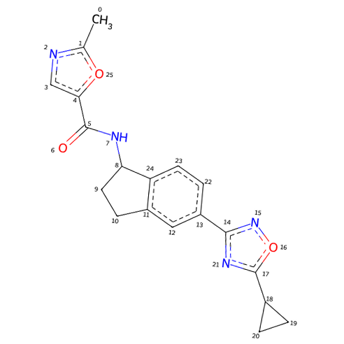 Cc1ncc(C(=O)NC2CCc3cc(-c4noc(C5CC5)n4)ccc32)o1